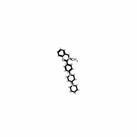 CN(Cc1ccccc1)C(=O)c1ccc(N2CCC(N3CCCCC3)CC2)cc1